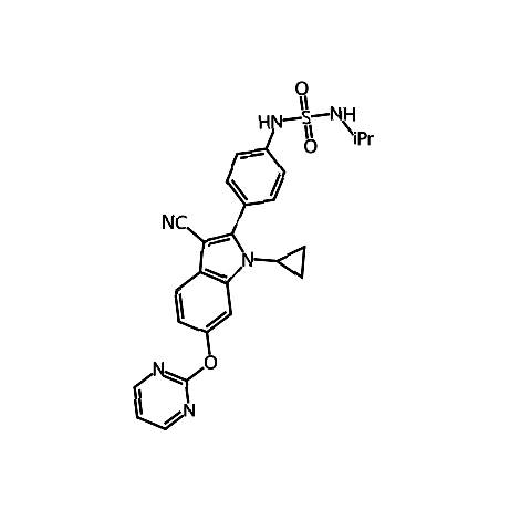 CC(C)NS(=O)(=O)Nc1ccc(-c2c(C#N)c3ccc(Oc4ncccn4)cc3n2C2CC2)cc1